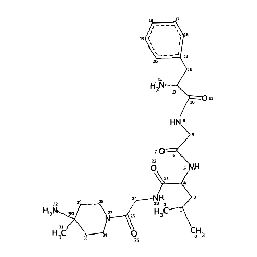 CC(C)CC(NC(=O)CNC(=O)C(N)Cc1ccccc1)C(=O)NCC(=O)N1CCC(C)(N)CC1